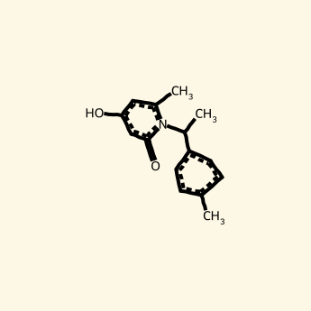 Cc1ccc(C(C)n2c(C)cc(O)cc2=O)cc1